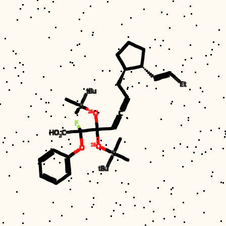 CC/C=C/[C@H]1CCC[C@@H]1CC=C=CC([16O][Si](C)(C)C(C)(C)C)([16O][Si](C)(C)C(C)(C)C)C(F)(Oc1ccccc1)C(=O)O